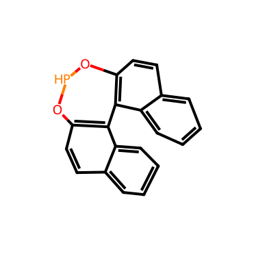 c1ccc2c(c1)ccc1o[pH]oc3ccc4ccccc4c3c12